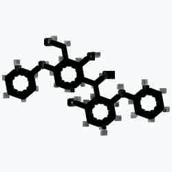 OC(c1ncc(Oc2ccccn2)c(CCl)c1Cl)c1c(Cl)cncc1Oc1ccccn1